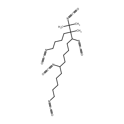 CC(C)(N=C=O)C(C)(CCCCN=C=O)C(CCCCC(CCCCCN=C=O)N=C=O)N=C=O